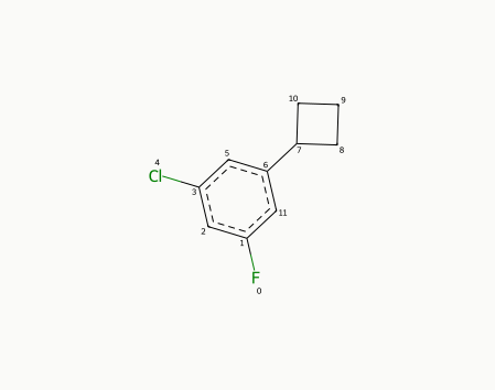 Fc1cc(Cl)cc(C2CCC2)c1